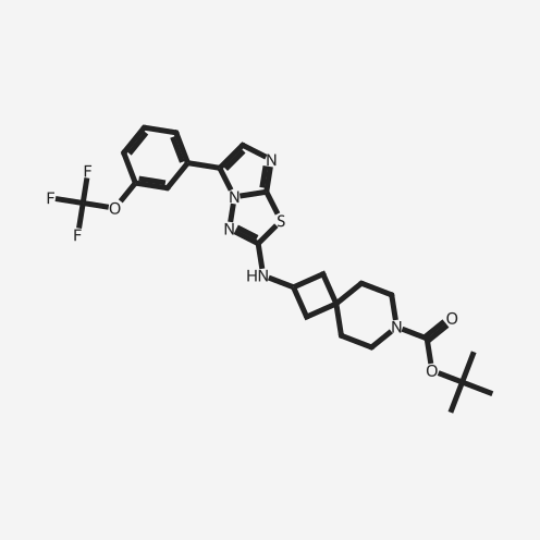 CC(C)(C)OC(=O)N1CCC2(CC1)CC(Nc1nn3c(-c4cccc(OC(F)(F)F)c4)cnc3s1)C2